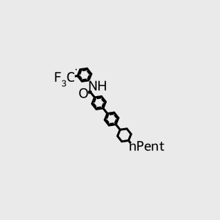 CCCCCC1CCC(c2ccc(-c3ccc(C(=O)Nc4cc[c]c(C(F)(F)F)c4)cc3)cc2)CC1